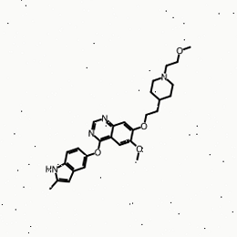 COCCN1CCC(CCOc2cc3ncnc(Oc4ccc5[nH]c(C)cc5c4)c3cc2OC)CC1